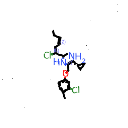 CC/C=C\C=C(\Cl)C(C)N/C(COc1ccc(C)c(Cl)c1)=C(\N)C1CC1